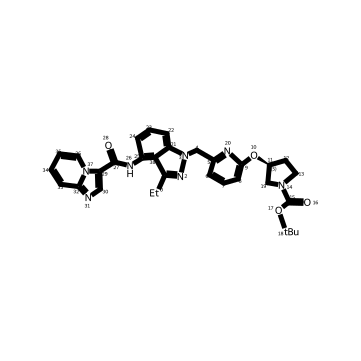 CCc1nn(Cc2cccc(O[C@H]3CCN(C(=O)OC(C)(C)C)C3)n2)c2cccc(NC(=O)c3cnc4ccccn34)c12